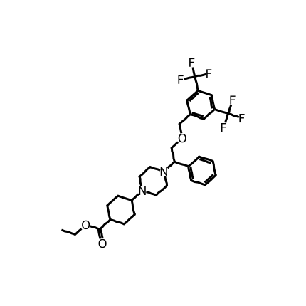 CCOC(=O)C1CCC(N2CCN(C(COCc3cc(C(F)(F)F)cc(C(F)(F)F)c3)c3ccccc3)CC2)CC1